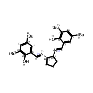 CC(C)(C)c1cc(/C=N/[C@H]2CCC[C@@H]2/N=C/c2cc(C(C)(C)C)cc(C(C)(C)C)c2O)c(O)c(C(C)(C)C)c1